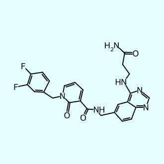 NC(=O)CCNc1ncnc2ccc(CNC(=O)c3cccn(Cc4ccc(F)c(F)c4)c3=O)cc12